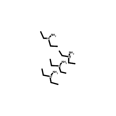 C[CH2][Hf]([NH2])[CH2]C.C[CH2][Hf]([NH2])[CH2]C.C[CH2][Hf]([NH2])[CH2]C.C[CH2][Hf]([NH2])[CH2]C